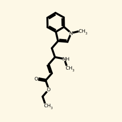 CCOC(=O)C=CC(Cc1cn(C)c2ccccc12)NC